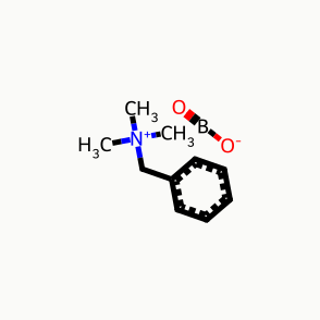 C[N+](C)(C)Cc1ccccc1.O=B[O-]